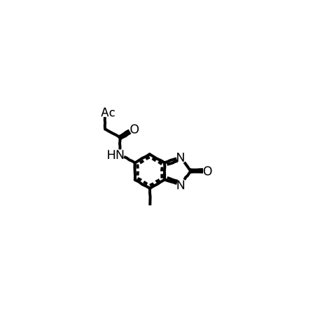 CC(=O)CC(=O)Nc1cc(C)c2c(c1)=NC(=O)N=2